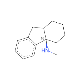 CN[C@]12CCCCC1Cc1ccccc12